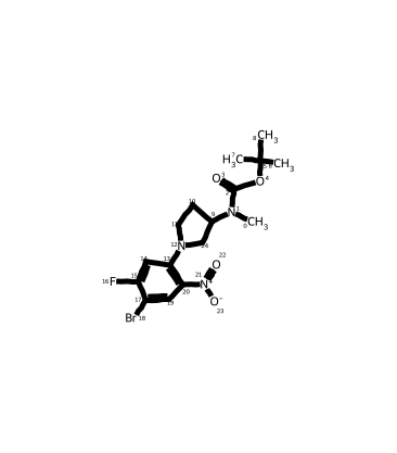 CN(C(=O)OC(C)(C)C)C1CCN(c2cc(F)c(Br)cc2[N+](=O)[O-])C1